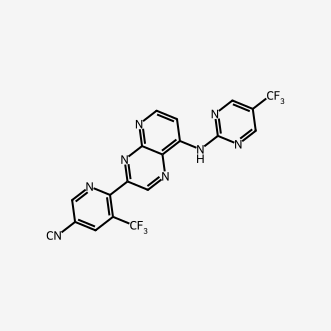 [C-]#[N+]c1cnc(-c2cnc3c(Nc4ncc(C(F)(F)F)cn4)ccnc3n2)c(C(F)(F)F)c1